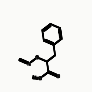 C=NOC(Cc1ccccc1)C(=O)OC